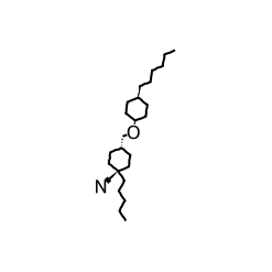 CCCCCC[C@H]1CC[C@H](OC[C@H]2CC[C@@](C#N)(CCCCC)CC2)CC1